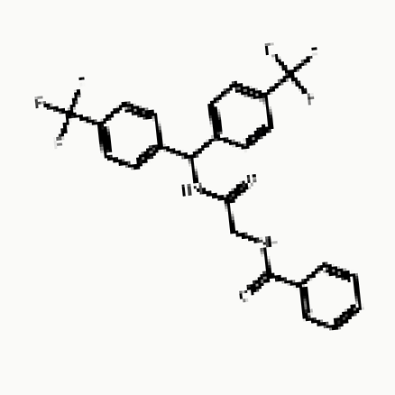 O=C(CNC(=O)c1ccccc1)NC(c1ccc(C(F)(F)F)cc1)c1ccc(C(F)(F)F)cc1